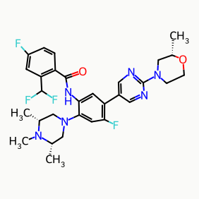 C[C@@H]1CN(c2cc(F)c(-c3cnc(N4CCO[C@@H](C)C4)nc3)cc2NC(=O)c2ccc(F)cc2C(F)F)C[C@H](C)N1C